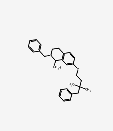 CC(C)(CCOc1ccc2c(c1)C(C(=O)O)N(Cc1ccccc1)CC2)Cc1ccccc1